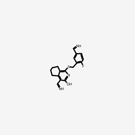 N=Cc1ccc(F)c(CSc2nc(O)c(C=N)c3c2CCCC3)c1